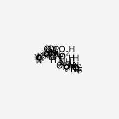 O=C(CNC(=O)c1cccc(NC2=NCC(F)CN2)c1)NC[C@@H](NC(=O)c1c(Cl)cc(-c2cccnc2)cc1Cl)C(=O)O